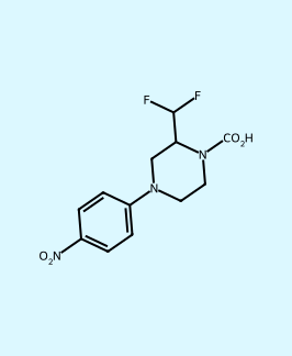 O=C(O)N1CCN(c2ccc([N+](=O)[O-])cc2)CC1C(F)F